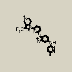 Cc1ccc(Nc2ccc3c(c2)ncn3-c2cc[c]c(-n3nc(C(F)(F)F)c4c3CCN(C)C4)n2)nn1